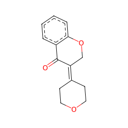 O=C1C(=C2CCOCC2)COc2ccccc21